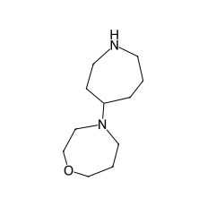 C1CNCCC(N2CCCOCC2)C1